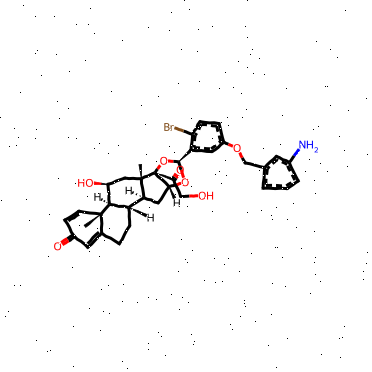 C[C@]12C=CC(=O)C=C1CC[C@@H]1[C@@H]2[C@@H](O)C[C@@]2(C)[C@H]1C[C@H]1O[C@H](c3cc(OCc4cccc(N)c4)ccc3Br)O[C@]12C(=O)CO